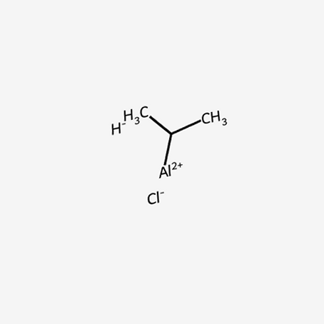 C[CH](C)[Al+2].[Cl-].[H-]